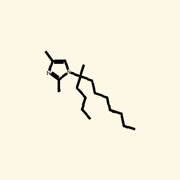 CCCCCCCC(C)(CCCC)n1cc(C)nc1C